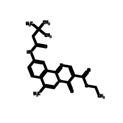 CCOC(=O)c1cnc2c3cc(NC(=O)CC(C)(C)C)ccc3c(C)cn2c1=O